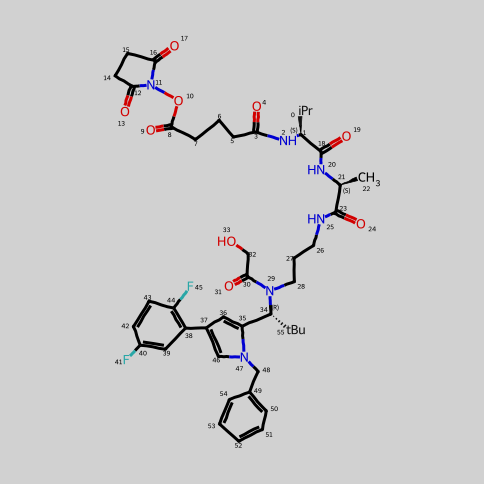 CC(C)[C@H](NC(=O)CCCC(=O)ON1C(=O)CCC1=O)C(=O)N[C@@H](C)C(=O)NCCCN(C(=O)CO)[C@@H](c1cc(-c2cc(F)ccc2F)cn1Cc1ccccc1)C(C)(C)C